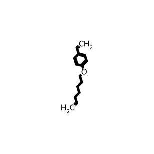 C=CCCCCCOc1ccc(C=C)cc1